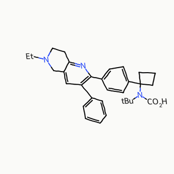 CCN1CCc2nc(-c3ccc(C4(N(C(=O)O)C(C)(C)C)CCC4)cc3)c(-c3ccccc3)cc2C1